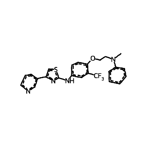 CN(CCOc1ccc(Nc2nc(-c3cccnc3)cs2)cc1C(F)(F)F)c1ccccc1